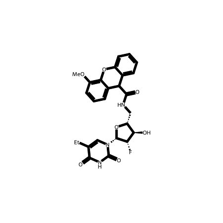 CCc1cn([C@@H]2O[C@H](CNC(=O)C3c4ccccc4Oc4c(OC)cccc43)[C@@H](O)[C@@H]2F)c(=O)[nH]c1=O